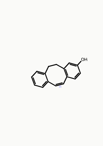 Oc1ccc2c(c1)CCc1ccccc1/C=C\2